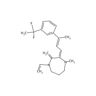 C=CN1CCCN(C)/C(=C/C=C(\C)c2cccc(C(C)(F)F)c2)C1=C